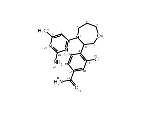 Cc1cc(N2CCCOCC2c2ccc(C(N)=O)cc2Cl)nc(N)n1